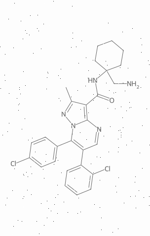 Cc1nn2c(-c3ccc(Cl)cc3)c(-c3ccccc3Cl)cnc2c1C(=O)NC1(CN)CCCCC1